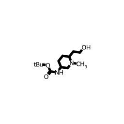 CN1CC(NC(=O)OC(C)(C)C)CCC1CCO